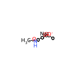 CCCCC(=O)Nc1ccc(-c2ccc(C(=O)CC(CCc3ccccc3)C(=O)[O-])cc2)cc1.[Na+]